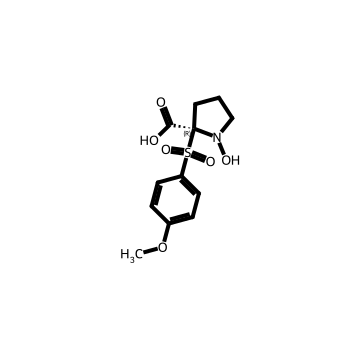 COc1ccc(S(=O)(=O)[C@@]2(C(=O)O)CCCN2O)cc1